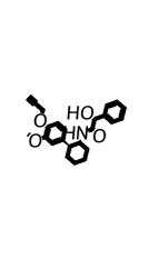 C#CCOc1ccc([C@@H]2CCCC[C@H]2NC(=O)C(O)c2ccccc2)cc1OC